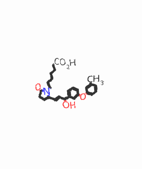 Cc1cccc(Oc2cccc(C(O)C=CC3CCC(=O)N3CCCCCCC(=O)O)c2)c1